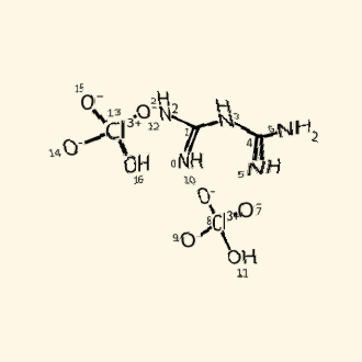 N=C(N)NC(=N)N.[O-][Cl+3]([O-])([O-])O.[O-][Cl+3]([O-])([O-])O